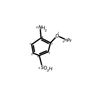 CCCOc1cc(S(=O)(=O)O)ccc1N